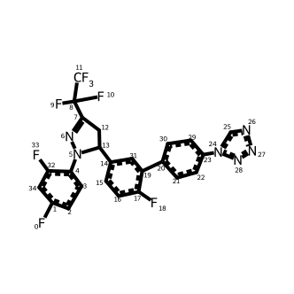 Fc1ccc(N2N=C(C(F)(F)C(F)(F)F)CC2c2ccc(F)c(-c3ccc(-n4cnnn4)cc3)c2)c(F)c1